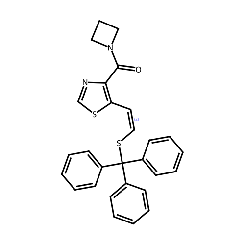 O=C(c1ncsc1/C=C\SC(c1ccccc1)(c1ccccc1)c1ccccc1)N1CCC1